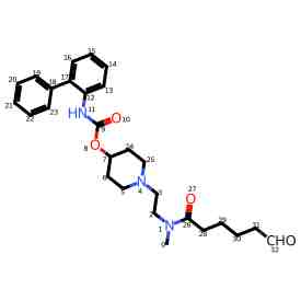 CN(CCN1CCC(OC(=O)Nc2ccccc2-c2ccccc2)CC1)C(=O)CCCCC=O